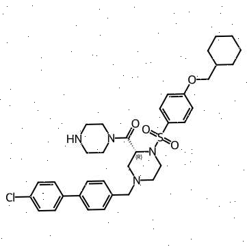 O=C([C@H]1CN(Cc2ccc(-c3ccc(Cl)cc3)cc2)CCN1S(=O)(=O)c1ccc(OCC2CCCCC2)cc1)N1CCNCC1